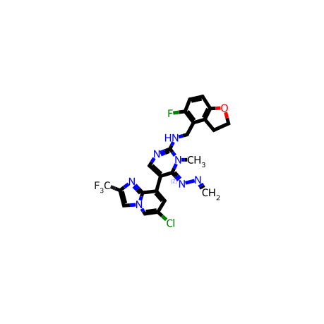 C=N/N=c1/c(-c2cc(Cl)cn3cc(C(F)(F)F)nc23)cnc(NCc2c(F)ccc3c2CCO3)n1C